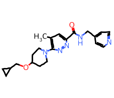 Cc1cc(C(=O)NCc2ccncc2)nnc1N1CCC(OCC2CC2)CC1